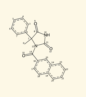 CC1(c2ccccc2)C(=O)NC(=O)N1C(=O)c1ccc2ccccc2c1